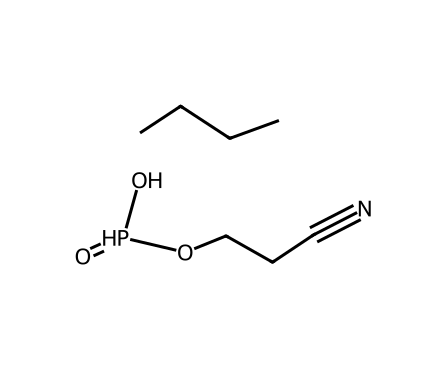 CCCC.N#CCCO[PH](=O)O